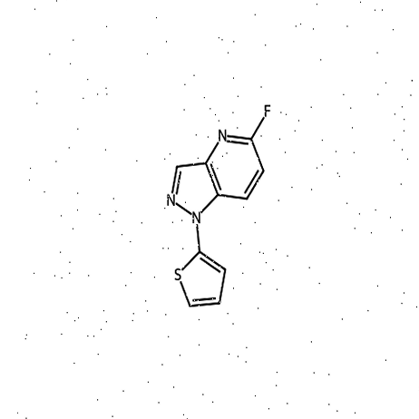 Fc1ccc2c(cnn2-c2cccs2)n1